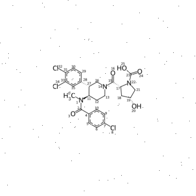 CN(C(=O)c1ccc(Cl)cc1)[C@@H]1CCN(C(=O)[C@H]2C[C@@H](O)CN2C(=O)O)C[C@H]1c1ccc(Cl)c(Cl)c1